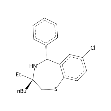 CCCC[C@]1(CC)CSc2ccc(Cl)cc2[C@@H](c2ccccc2)N1